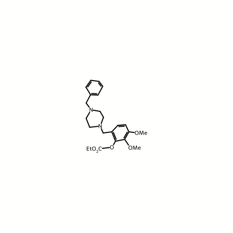 CCOC(=O)Oc1c(CN2CCN(Cc3ccccc3)CC2)ccc(OC)c1OC